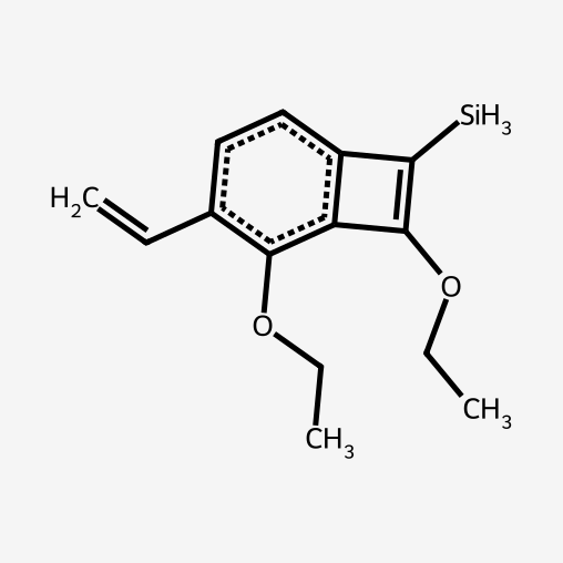 C=Cc1ccc2c(c1OCC)C(OCC)=C2[SiH3]